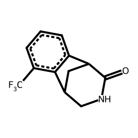 O=C1NCC2CC1c1cccc(C(F)(F)F)c12